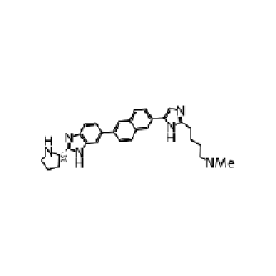 CNCCCCc1ncc(-c2ccc3cc(-c4ccc5nc([C@@H]6CCCN6)[nH]c5c4)ccc3c2)[nH]1